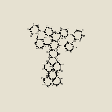 c1ccc(-c2cccc(-c3c4cc5c(cc4c(-c4cccc(-c6ccccn6)c4)c4c6ccccc6c6ccccc6c34)-c3ccc4c6cccc7cccc(c8ccc-5c3c84)c76)c2)nc1